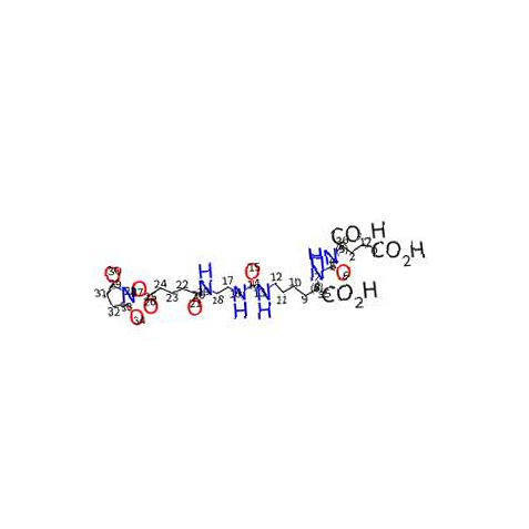 O=C(O)CC[C@H](NC(=O)N[C@@H](CCCCNC(=O)NCCNC(=O)CCCC(=O)ON1C(=O)CCC1=O)C(=O)O)C(=O)O